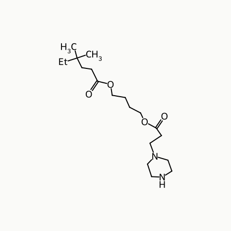 CCC(C)(C)CCC(=O)OCCCCOC(=O)CCN1CCNCC1